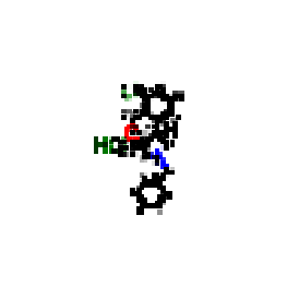 CC[C@]12CN(Cc3ccccc3)C[C@H]1c1cccc(Cl)c1CO2.Cl